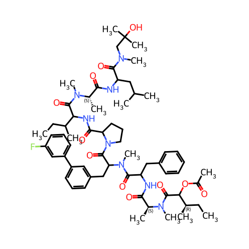 CCC(C)C(NC(=O)C1CCCN1C(=O)C(Cc1cccc(-c2cccc(F)c2)c1)N(C)C(=O)C(Cc1ccccc1)NC(=O)[C@H](C)N(C)C(=O)C(OC(C)=O)[C@H](C)CC)C(=O)N(C)[C@@H](C)C(=O)NC(CC(C)C)C(=O)N(C)CC(C)(C)O